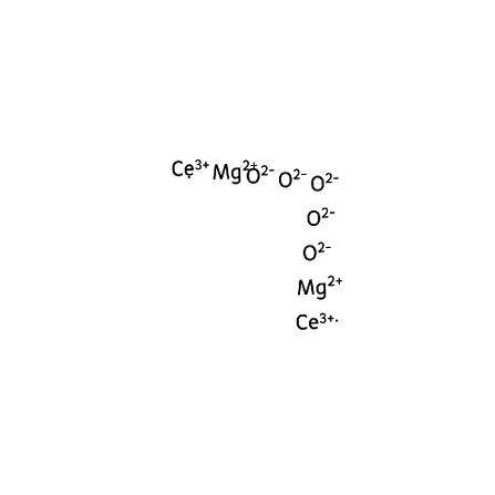 [Ce+3].[Ce+3].[Mg+2].[Mg+2].[O-2].[O-2].[O-2].[O-2].[O-2]